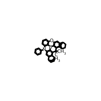 CC1(C)c2c3c(cc4c2C2CCC4CC2)Oc2cccc4c2B3c2c(cc3c(c21)C1CCC3CC1)N4c1ccccc1